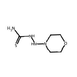 NC(=S)NNN1CCOCC1